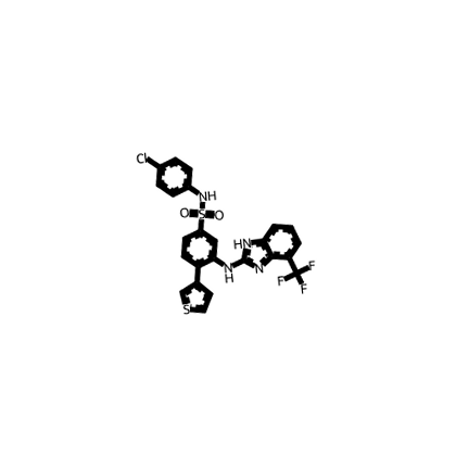 O=S(=O)(Nc1ccc(Cl)cc1)c1ccc(-c2ccsc2)c(Nc2nc3c(C(F)(F)F)cccc3[nH]2)c1